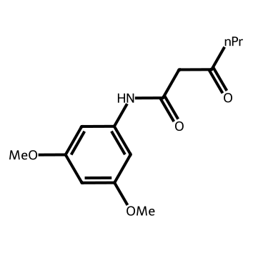 CCCC(=O)CC(=O)Nc1cc(OC)cc(OC)c1